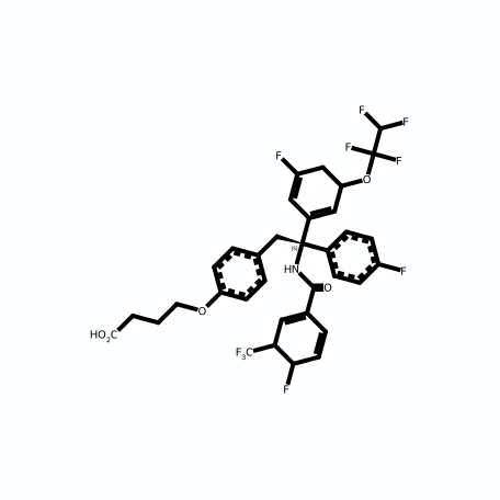 O=C(O)CCCOc1ccc(C[C@@](NC(=O)C2=CC(C(F)(F)F)C(F)C=C2)(C2=CC(OC(F)(F)C(F)F)CC(F)=C2)c2ccc(F)cc2)cc1